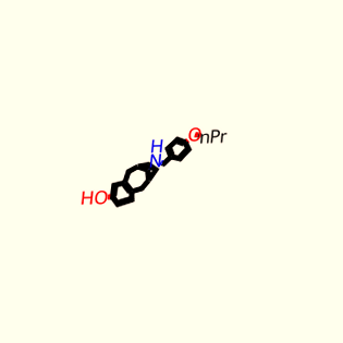 CCCOc1ccc(CNC2C3CCC2Cc2cc(O)ccc2C3)cc1